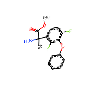 CCC(N)(C(=O)OC(C)(C)C)c1ccc(F)c(Oc2ccccc2)c1F